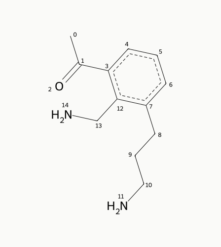 CC(=O)c1cccc(CCCN)c1CN